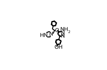 Nc1nnc(-c2ccc(O)cc2)cc1OC(Cc1ccccc1)CN1CCNCC1